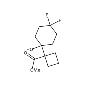 COC(=O)C1(C2(O)CCC(F)(F)CC2)CCC1